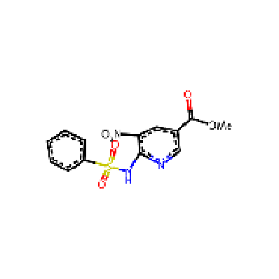 COC(=O)c1cnc(NS(=O)(=O)c2ccccc2)c([N+](=O)[O-])c1